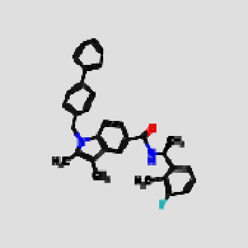 Cc1c(F)cccc1[C@H](C)NC(=O)c1ccc2c(c1)c(C)c(C)n2Cc1ccc(-c2ccccc2)cc1